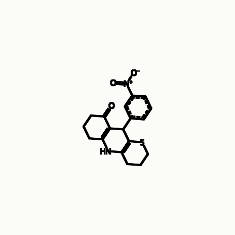 O=C1CCCC2=C1C(c1cccc([N+](=O)[O-])c1)C1=C(CCCS1)N2